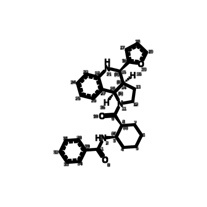 O=C(N[C@@H]1CCCC[C@@H]1C(=O)N1CC[C@@H]2[C@H](c3ccco3)Nc3ccccc3[C@@H]21)c1ccccc1